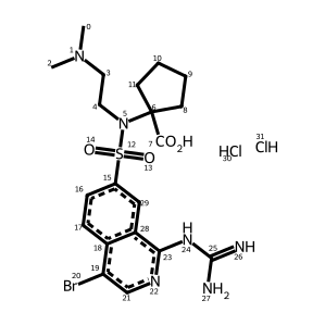 CN(C)CCN(C1(C(=O)O)CCCC1)S(=O)(=O)c1ccc2c(Br)cnc(NC(=N)N)c2c1.Cl.Cl